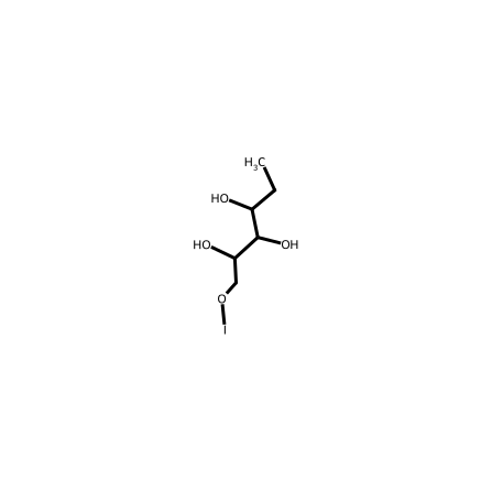 CCC(O)C(O)C(O)COI